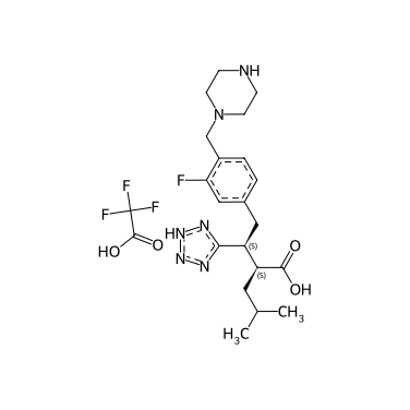 CC(C)C[C@H](C(=O)O)[C@H](Cc1ccc(CN2CCNCC2)c(F)c1)c1nn[nH]n1.O=C(O)C(F)(F)F